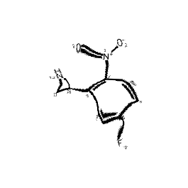 O=[N+]([O-])c1ccc(F)cc1[C@H]1CN1